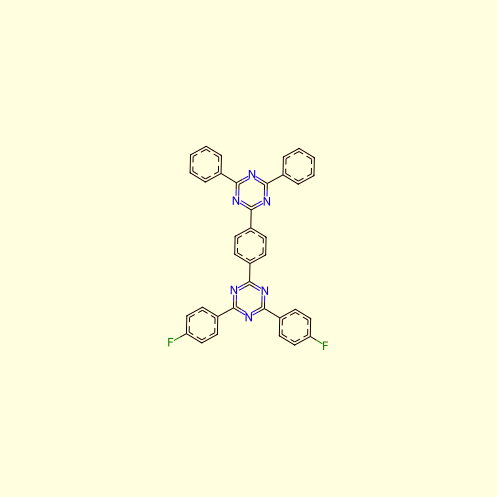 Fc1ccc(-c2nc(-c3ccc(F)cc3)nc(-c3ccc(-c4nc(-c5ccccc5)nc(-c5ccccc5)n4)cc3)n2)cc1